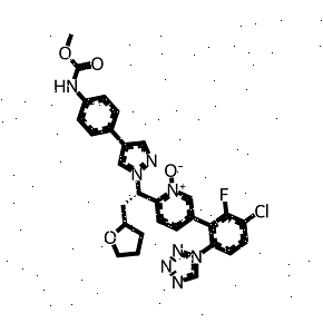 COC(=O)Nc1ccc(-c2cnn([C@@H](CC3CCCO3)c3ccc(-c4c(-n5cnnn5)ccc(Cl)c4F)c[n+]3[O-])c2)cc1